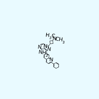 CN(C)[C@H]1C[C@@H](c2nc(-c3ccc4ccc(C5=CCCC=C5)nc4c3)c3c(N)nccn32)C1